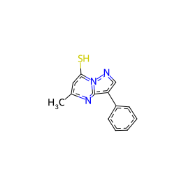 Cc1cc(S)n2ncc(-c3ccccc3)c2n1